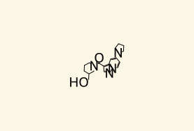 O=C(c1cnn2ccc(N3CCCC3)cc12)N1CCCC(CO)C1